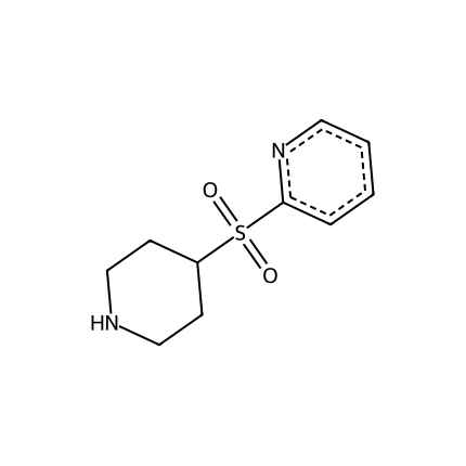 O=S(=O)(c1ccccn1)C1CCNCC1